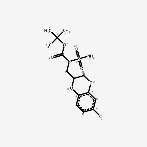 CC(C)(C)OC(=O)N(CC1COc2cc(Cl)ccc2O1)S(N)(=O)=O